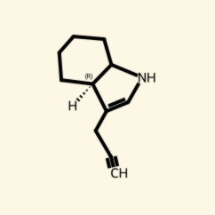 C#CCC1=CNC2CCCC[C@H]12